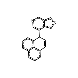 C1=CC(c2cncc3cscc23)c2cccc3cccc1c23